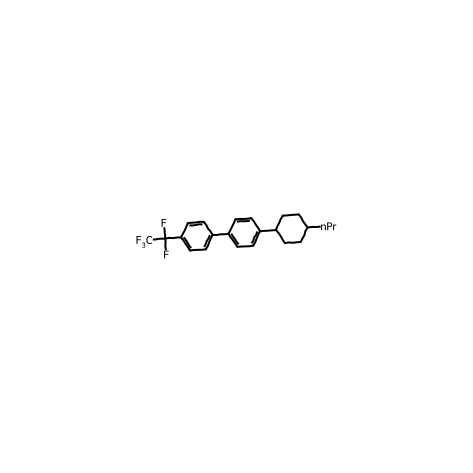 CCCC1CCC(c2ccc(-c3ccc(C(F)(F)C(F)(F)F)cc3)cc2)CC1